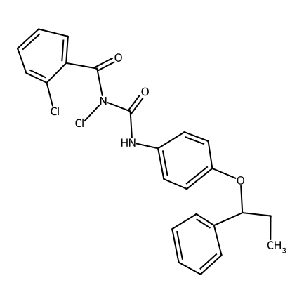 CCC(Oc1ccc(NC(=O)N(Cl)C(=O)c2ccccc2Cl)cc1)c1ccccc1